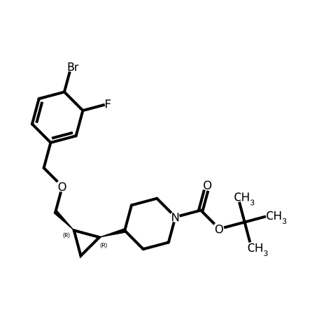 CC(C)(C)OC(=O)N1CCC([C@H]2C[C@H]2COCC2=CC(F)C(Br)C=C2)CC1